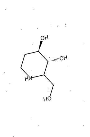 OCC1NCC[C@@H](O)[C@@H]1O